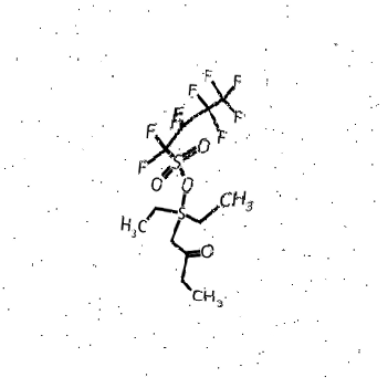 CCC(=O)CS(CC)(CC)OS(=O)(=O)C(F)(F)C(F)(F)C(F)(F)C(F)(F)F